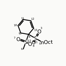 CCCCCCCCS(=O)(=O)C1(S(C)(=O)=O)[CH]C=CC=C1